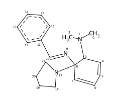 CN(C)C1C=CC=CC1(N=Cc1ccccc1)N1CCCC1